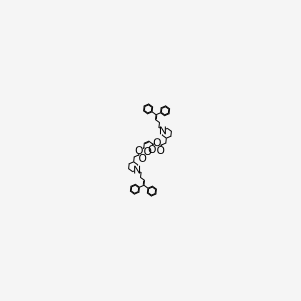 O=C(/C=C\C(=O)OC(=O)CC1CCCN(CCC=C(c2ccccc2)c2ccccc2)C1)OC(=O)CC1CCCN(CCC=C(c2ccccc2)c2ccccc2)C1